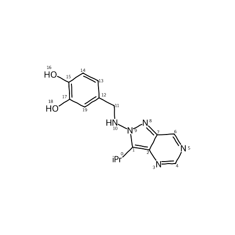 CC(C)c1c2ncncc2nn1NCc1ccc(O)c(O)c1